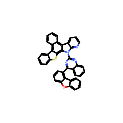 c1ccc2c(-c3cccc4oc5ccccc5c34)nc(-n3c4ncccc4c4c5ccccc5c5c6ccccc6sc5c43)nc2c1